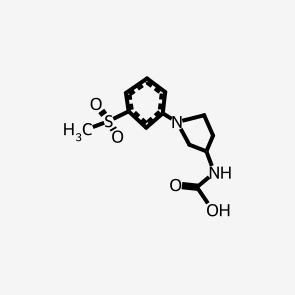 CS(=O)(=O)c1cccc(N2CCC(NC(=O)O)C2)c1